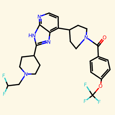 O=C(c1ccc(OC(F)(F)F)cc1)N1CCC(c2ccnc3[nH]c(C4CCN(CC(F)F)CC4)nc23)CC1